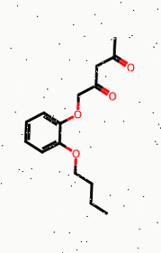 CCCCOc1ccccc1OCC(=O)CC(C)=O